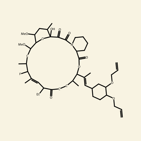 C=CCOC1CCC(C=C(C)C2OC(=O)C3CCCCN3C(=O)C(=O)C3(O)OC(C(OC)CC(C)C(F)/C(C)=C/C(CC)C(=O)CCC2C)C(OC)CC3C)CC1OCC=C